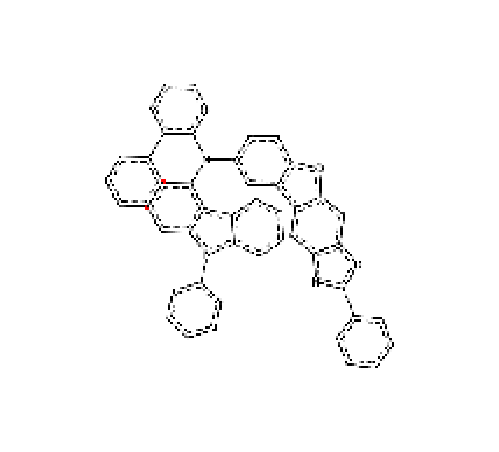 c1ccc(-c2nc3cc4c(cc3o2)oc2ccc(N(c3ccccc3-c3ccccc3)c3cccc5c3c3ccccc3n5-c3ccccc3)cc24)cc1